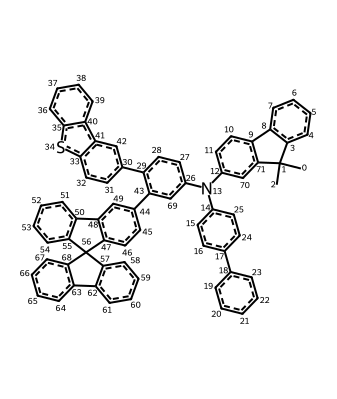 CC1(C)c2ccccc2-c2ccc(N(c3ccc(-c4ccccc4)cc3)c3ccc(-c4ccc5sc6ccccc6c5c4)c(-c4ccc5c(c4)-c4ccccc4C54c5ccccc5-c5ccccc54)c3)cc21